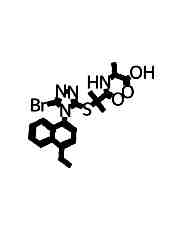 CCc1ccc(-n2c(Br)nnc2SC(C)(C)C(=O)NC(C)C(=O)O)c2ccccc12